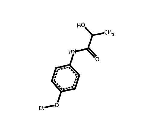 CCOc1ccc(NC(=O)C(C)O)cc1